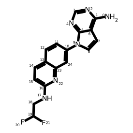 Nc1ncnc2c1ccn2-c1ccc2ccc(NCC(F)F)nc2c1